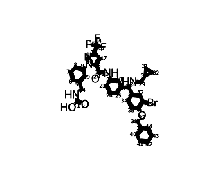 O=C(O)NCc1cccc(-n2nc(C(F)(F)F)cc2C(=O)Nc2cccc(C(NCC3CC3)c3ccc(OCc4ccccc4)c(Br)c3)c2)c1